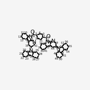 O=C(c1ccc(C(=O)n2c3ccccc3c3cc(-n4c5ccccc5c5ccccc54)cnc32)cc1)n1c2ccccc2c2cc(-n3c4ccccc4c4ccccc43)cnc21